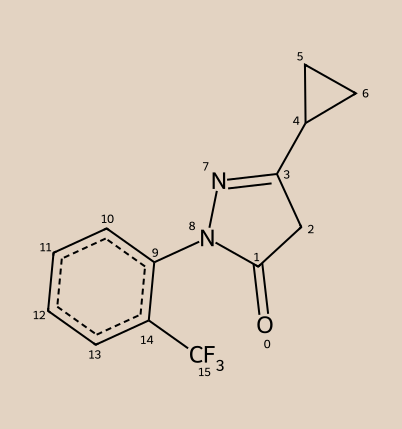 O=C1CC(C2CC2)=NN1c1ccccc1C(F)(F)F